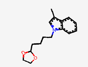 Cc1cn(CCCCC2OCCO2)c2ccccc12